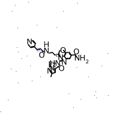 CCn1nc(C)cc1C(=O)Nc1nc2cc(C(N)=O)cc3c2n1[C@@H](CCCNC(=O)/C=C/c1ccncc1)CO3